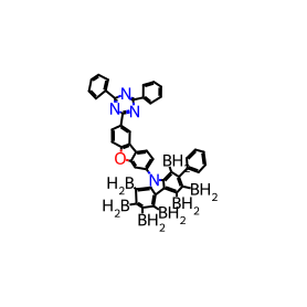 Bc1c(B)c(B)c2c(c1B)c1c(B)c(B)c(-c3ccccc3)c(B)c1n2-c1ccc2c(c1)oc1ccc(-c3nc(-c4ccccc4)nc(-c4ccccc4)n3)cc12